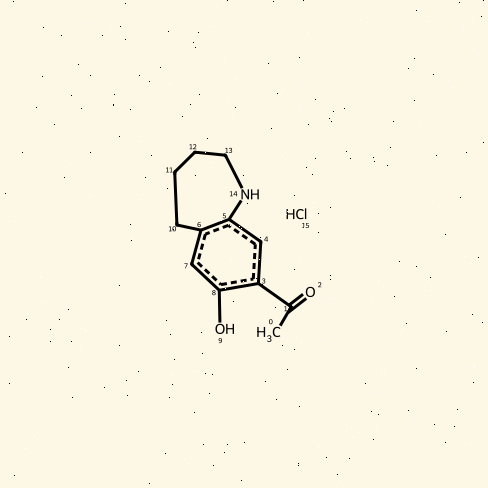 CC(=O)c1cc2c(cc1O)CCCCN2.Cl